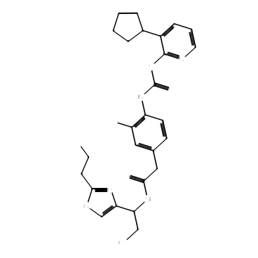 CC(C)CC(NC(=O)Cc1ccc(NC(=O)Nc2ncccc2C2CCCC2)c(C(F)(F)F)c1)c1c[nH]c(CCC(=O)O)n1